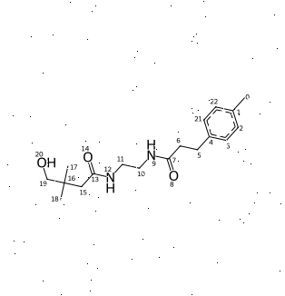 Cc1ccc(CCC(=O)NCCNC(=O)CC(C)(C)CO)cc1